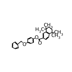 CC1(C)CCC(C)(C)c2cc(C(=O)Oc3ccc(OCc4ccccc4)cc3)ccc21